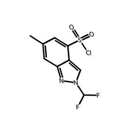 Cc1cc(S(=O)(=O)Cl)c2cn(C(F)F)nc2c1